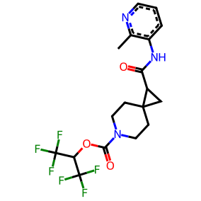 Cc1ncccc1NC(=O)C1CC12CCN(C(=O)OC(C(F)(F)F)C(F)(F)F)CC2